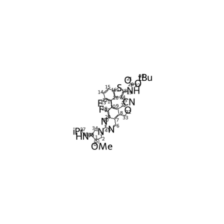 CO[C@H]1CN(c2ncc3c4c(c(-c5c(F)ccc6sc(NC(=O)OC(C)(C)C)c(C#N)c56)c(F)c3n2)COC4)C[C@H]1NC(C)C